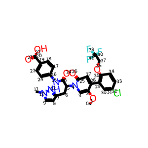 COc1cn(C(Cc2ccn(C)n2)C(=O)Nc2ccc(C(=O)O)cc2)c(=O)cc1-c1cc(Cl)ccc1OCC(F)(F)F